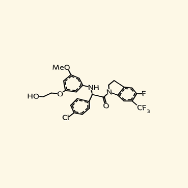 COc1cc(N[C@@H](C(=O)N2CCc3cc(F)c(C(F)(F)F)cc32)c2ccc(Cl)cc2)cc(OCCO)c1